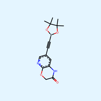 CC1(C)OB(C#Cc2cnc3c(c2)NC(=O)CO3)OC1(C)C